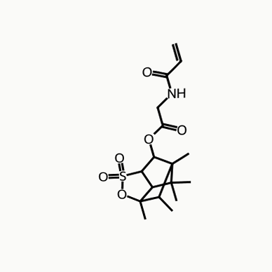 C=CC(=O)NCC(=O)OC1C2C3C(C)(OS2(=O)=O)C(C)C1(C)C3(C)C